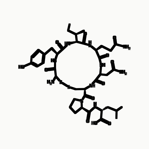 CC[C@@H](C)[C@@H]1NC(=O)[C@H](Cc2ccc(O)cc2)NC(=O)C(N)SSC[C@H](C(=O)N2CCC[C@@H]2C(=O)N[C@H](CC(C)C)C(=O)O)NC(=O)C(CC(N)=O)NC(=O)[C@H](CCC(N)=O)NC1=O